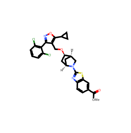 COC(=O)c1ccc2nc(N3C[C@H]4C[C@@H]3C[C@H]4OCc3c(-c4c(Cl)cccc4Cl)noc3C3CC3)sc2c1